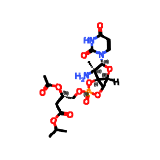 CC(=O)O[C@H](CO[P@]1(=O)OC2[C@H]3O[C@@H](n4ccc(=O)[nH]c4=O)[C@](C)(N)[C@@]23O1)CC(=O)OC(C)C